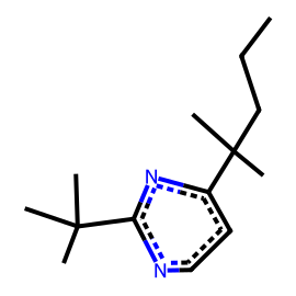 CCCC(C)(C)c1ccnc(C(C)(C)C)n1